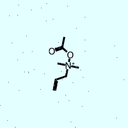 C=CC[N+](C)(C)OC(C)=O